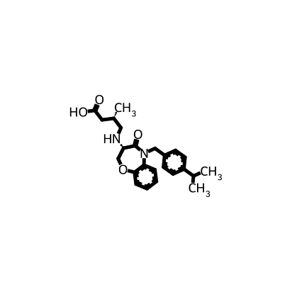 CC(C)c1ccc(CN2C(=O)[C@@H](NC[C@@H](C)CC(=O)O)COc3ccccc32)cc1